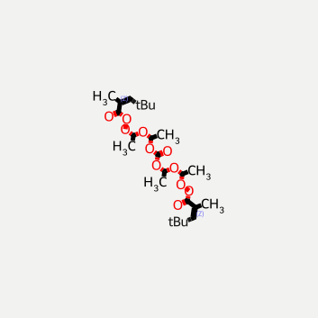 C/C(=C/C(C)(C)C)C(=O)OOC(C)OC(C)OC(=O)OC(C)OC(C)OOC(=O)/C(C)=C\C(C)(C)C